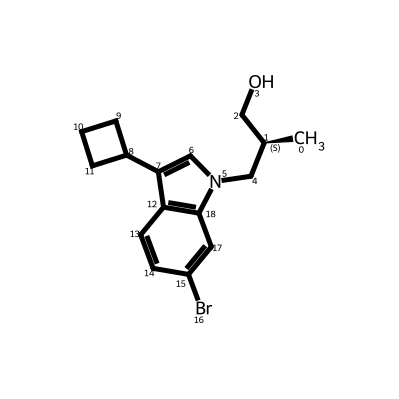 C[C@H](CO)Cn1cc(C2CCC2)c2ccc(Br)cc21